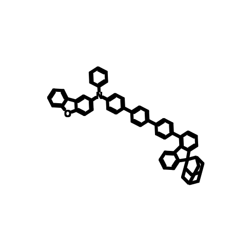 c1ccc(N(c2ccc(-c3ccc(-c4ccc(-c5cccc6c5-c5ccccc5C65C6CC7CC(C6)CC5C7)cc4)cc3)cc2)c2ccc3oc4ccccc4c3c2)cc1